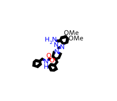 COc1cc2nc(N3CCC(Cc4ccccc4)(OC(=O)NCc4ccccc4)CC3)nc(N)c2cc1OC